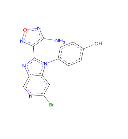 Nc1nonc1-c1nc2cnc(Br)cc2n1-c1ccc(O)cc1